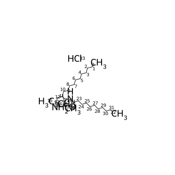 CCCCCCCCCCCC(CC(C)(C)N)C(CC)NC(=O)CCCCCCCCCC.Cl